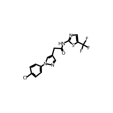 O=C(Cc1cnn(-c2ccc(Cl)cc2)c1)Nc1ncc(C(F)(F)F)s1